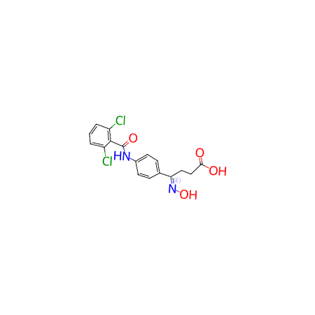 O=C(O)CC/C(=N\O)c1ccc(NC(=O)c2c(Cl)cccc2Cl)cc1